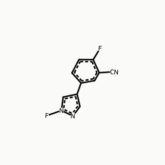 N#Cc1cc(-c2cnn(F)c2)ccc1F